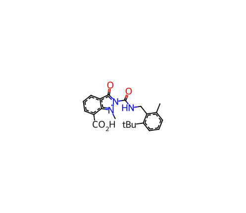 Cc1cccc(C(C)(C)C)c1CNC(=O)n1c(=O)c2cccc(C(=O)O)c2n1C